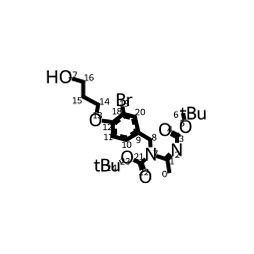 C/C(=N/C(=O)OC(C)(C)C)N(Cc1ccc(OCCCO)c(Br)c1)C(=O)OC(C)(C)C